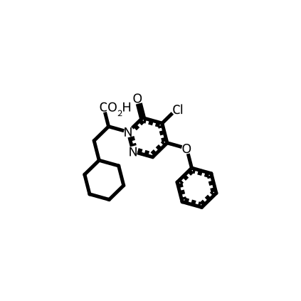 O=C(O)C(CC1CCCCC1)n1ncc(Oc2ccccc2)c(Cl)c1=O